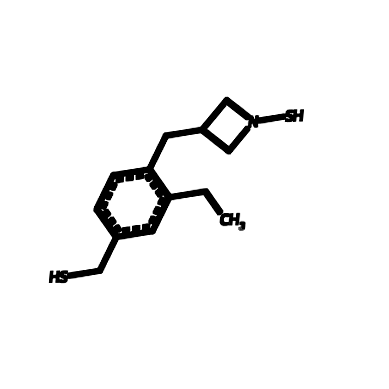 CCc1cc(CS)ccc1CC1CN(S)C1